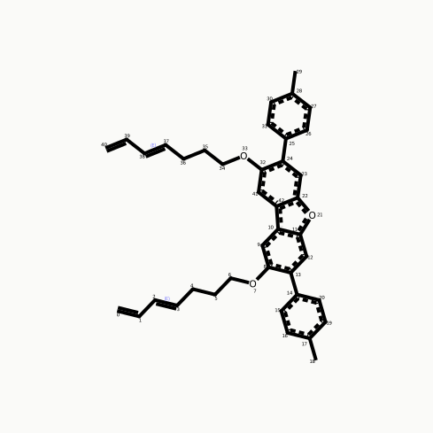 C=C/C=C/CCCOc1cc2c(cc1-c1ccc(C)cc1)oc1cc(-c3ccc(C)cc3)c(OCCC/C=C/C=C)cc12